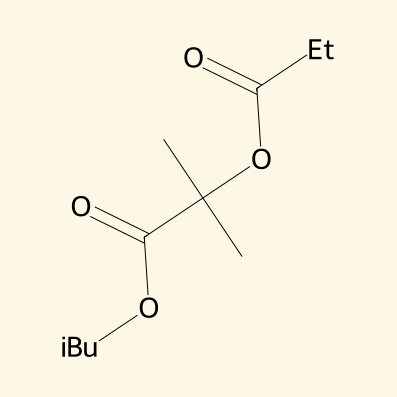 CCC(=O)OC(C)(C)C(=O)OC(C)CC